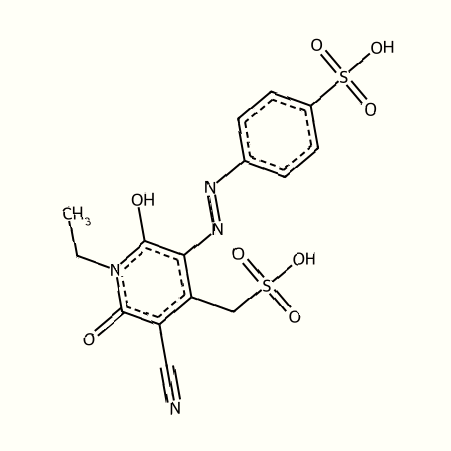 CCn1c(O)c(N=Nc2ccc(S(=O)(=O)O)cc2)c(CS(=O)(=O)O)c(C#N)c1=O